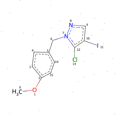 COc1ccc(Cn2ncc(I)c2Cl)cc1